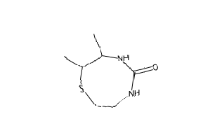 CC1NC(=O)NCCSC1C